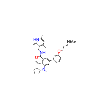 C=Cc1c(C(=O)NCC2=C(C)C=C(C)NC2=C)cc(-c2cccc(OCCCNC)c2)cc1N(C)C1CCCC1